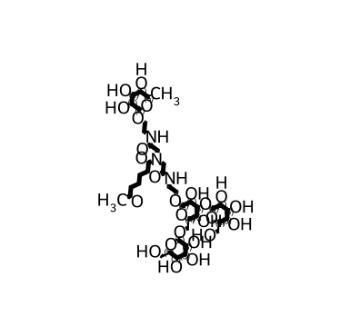 CC(=O)CCCCC(=O)N(CC(=O)NCCO[C@@H]1O[C@@H](C)[C@@H](O)[C@@H](O)[C@@H]1O)CC(=O)NCCO[C@@H]1O[C@H](CO[C@H]2O[C@H](CO)[C@@H](O)[C@H](O)[C@@H]2O)[C@@H](O)[C@H](O[C@H]2O[C@H](CO)[C@@H](O)[C@H](O)[C@@H]2O)[C@@H]1O